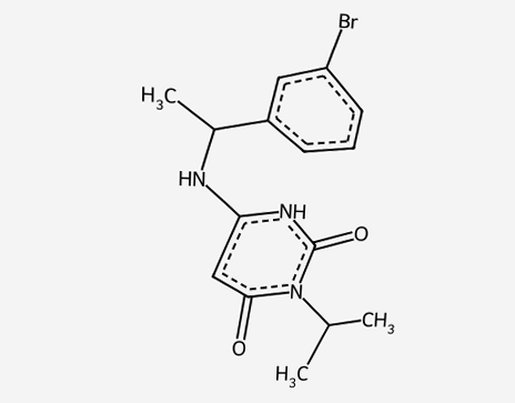 CC(Nc1cc(=O)n(C(C)C)c(=O)[nH]1)c1cccc(Br)c1